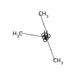 CCCCCCCCC=CCCCCCCCC(=O)O[SiH](OC(=O)CCCCCCCC=CCCCCCCCC)OC(=O)CCCCCCCC=CCCCCCCCC